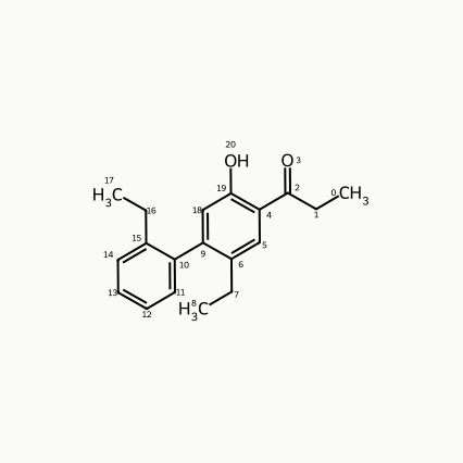 CCC(=O)c1cc(CC)c(-c2ccccc2CC)cc1O